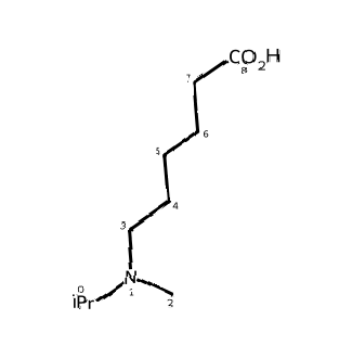 CC(C)N(C)CCCCCC(=O)O